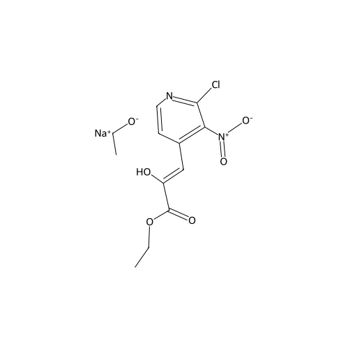 CCOC(=O)C(O)=Cc1ccnc(Cl)c1[N+](=O)[O-].CC[O-].[Na+]